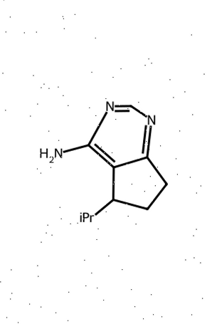 CC(C)C1CCc2ncnc(N)c21